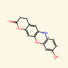 O=C1CCc2cc3c(cc2O1)Oc1cc(O)ccc1N3